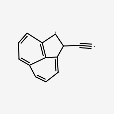 [C]#CC1[CH]c2cccc3cccc1c23